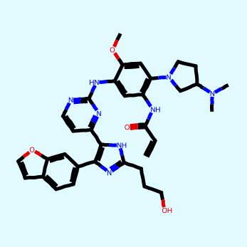 C=CC(=O)Nc1cc(Nc2nccc(-c3[nH]c(CCCO)nc3-c3ccc4ccoc4c3)n2)c(OC)cc1N1CCC(N(C)C)C1